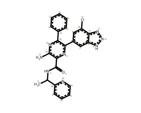 CC(NC(=O)c1nc(-c2cc(Cl)c3nn[nH]c3c2)c(-c2ccccc2)nc1N)c1ccccn1